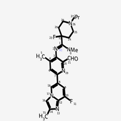 CN/C(=N\c1c(C)cc(-c2cc(F)c3nc(C)cn3c2)nc1C=O)C1(F)CCN(C(C)C)CC1